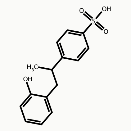 CC(Cc1ccccc1O)c1ccc(S(=O)(=O)O)cc1